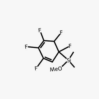 CO[Si](C)(C)C1(F)C=C(F)C(F)=C(F)C1F